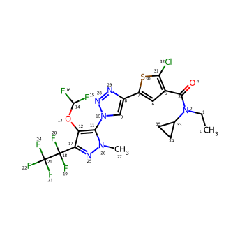 CCN(C(=O)c1cc(-c2cn(-c3c(OC(F)F)c(C(F)(F)C(F)(F)F)nn3C)nn2)sc1Cl)C1CC1